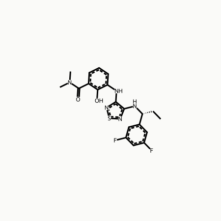 CC[C@@H](Nc1nsnc1Nc1cccc(C(=O)N(C)C)c1O)c1cc(F)cc(F)c1